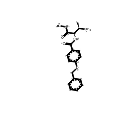 C[C@@H](N)[C@H](NC(=O)c1ccc(OCc2ccccc2)cc1)C(=O)NO